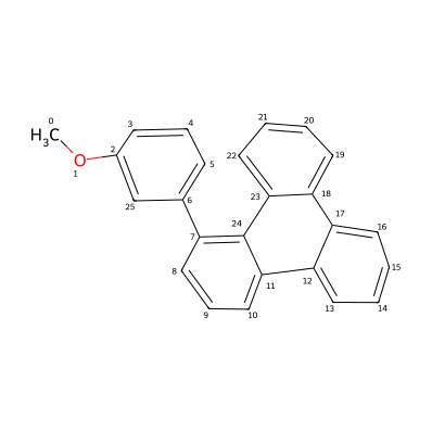 COc1cccc(-c2cccc3c4ccccc4c4ccccc4c23)c1